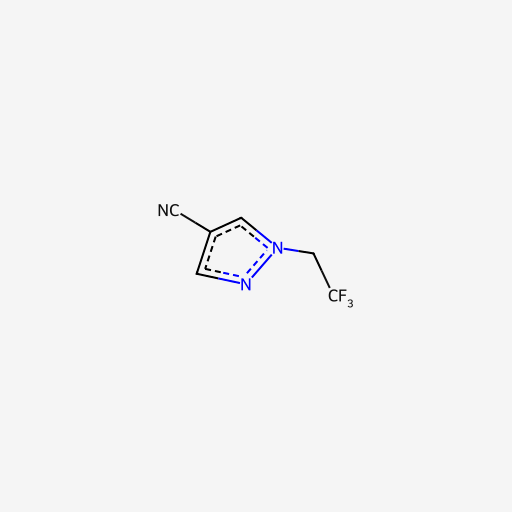 N#Cc1cnn(CC(F)(F)F)c1